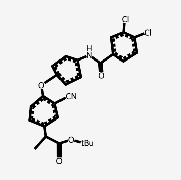 CC(C(=O)OC(C)(C)C)c1ccc(Oc2ccc(NC(=O)c3ccc(Cl)c(Cl)c3)cc2)c(C#N)c1